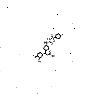 COc1ccc(C(=CC(=O)O)c2ccc(NC(=O)NS(=O)(=O)c3ccc(C)cc3)cc2)cc1OC